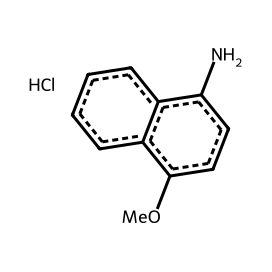 COc1ccc(N)c2ccccc12.Cl